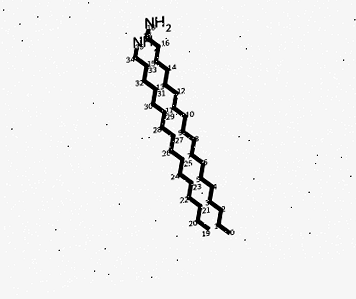 CCCCCCCCCCCCCCCCCCN.CCCCCCCCCCCCCCCCN